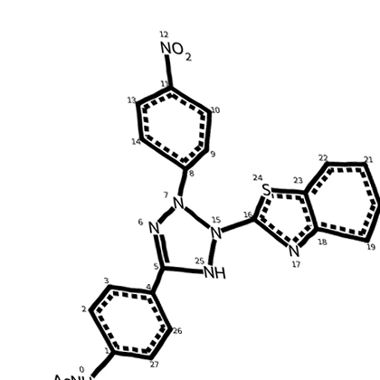 CC(=O)Nc1ccc(C2=NN(c3ccc([N+](=O)[O-])cc3)N(c3nc4ccccc4s3)N2)cc1